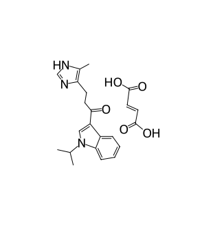 Cc1[nH]cnc1CCC(=O)c1cn(C(C)C)c2ccccc12.O=C(O)C=CC(=O)O